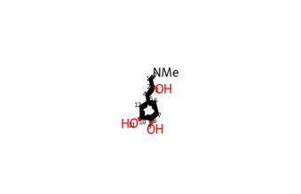 CNCC(O)=Cc1ccc(O)c(O)c1